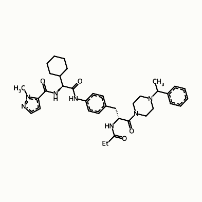 CCC(=O)N[C@H](Cc1ccc(NC(=O)[C@@H](NC(=O)c2ccnn2C)C2CCCCC2)cc1)C(=O)N1CCN(C(C)c2ccccc2)CC1